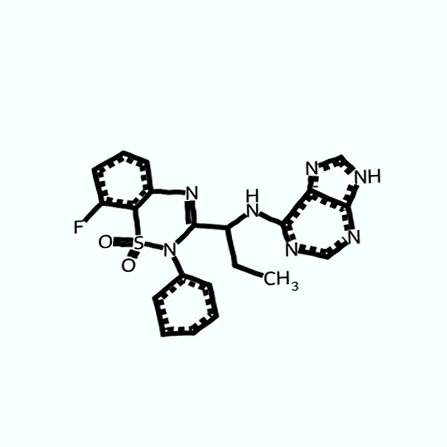 CCC(Nc1ncnc2[nH]cnc12)C1=Nc2cccc(F)c2S(=O)(=O)N1c1ccccc1